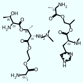 CN(C)C.CN[C@@H](Cc1c[nH]cn1)C(=O)OC(C)COC(=O)[C@H](C)N.C[C@H](N)C(=O)OCCOC(=O)[C@@H](N)[C@@H](C)OC(=O)[C@@H](N)[C@@H](C)O